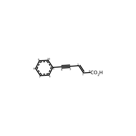 O=C(O)C=CC#Cc1ccccc1